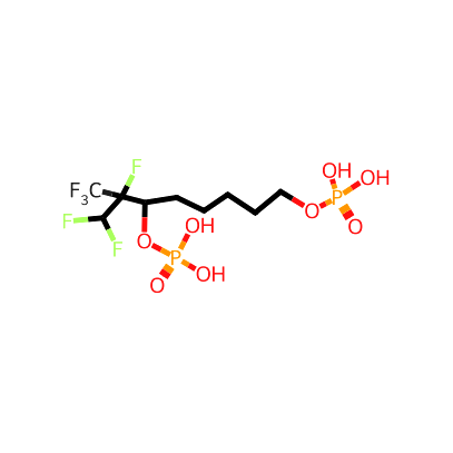 O=P(O)(O)OCCCCCC(OP(=O)(O)O)C(F)(C(F)F)C(F)(F)F